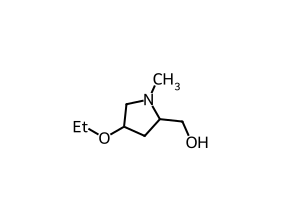 CCOC1CC(CO)N(C)C1